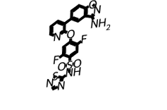 Nc1noc2ccc(-c3cccnc3Oc3cc(F)c(S(=O)(=O)Nc4ncns4)cc3F)cc12